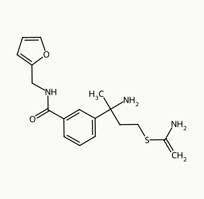 C=C(N)SCCC(C)(N)c1cccc(C(=O)NCc2ccco2)c1